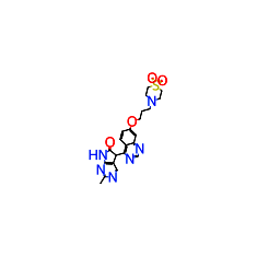 Cc1ncc2c(n1)NC(=O)C2c1ncnc2cc(OCCCN3CCS(=O)(=O)CC3)ccc12